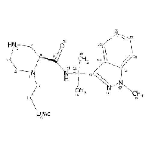 COCCN1CCNC[C@H]1C(=O)NC(C)(C)c1nn(C)c2ccccc12